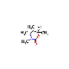 C[C@@H]1[C@H](C)C(C)(C)OC(=O)N1C